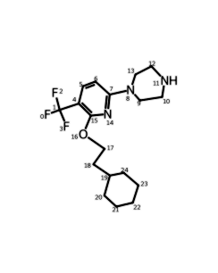 FC(F)(F)c1ccc(N2CCNCC2)nc1OCCC1CCCCC1